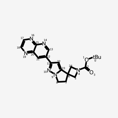 CC(C)(C)OC(=O)N1CC2(CCn3nc(-c4cnc5nccnc5c4)cc32)C1